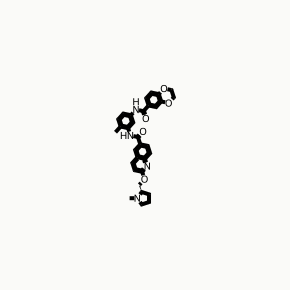 Cc1ccc(NC(=O)c2ccc3c(c2)OCCO3)cc1NC(=O)c1ccc2nc(OC[C@@H]3CCCN3C)ccc2c1